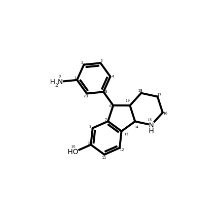 Nc1cccc(C2c3cc(O)ccc3C3NCCCC32)c1